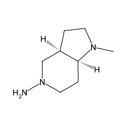 CN1CC[C@@H]2CN(N)CC[C@@H]21